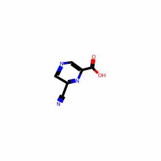 N#Cc1cncc(C(=O)O)n1